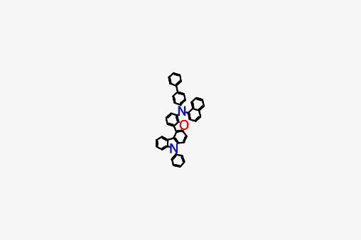 c1ccc(-c2ccc(N(c3cccc4ccccc34)c3cccc4c3oc3ccc5c(c6ccccc6n5-c5ccccc5)c34)cc2)cc1